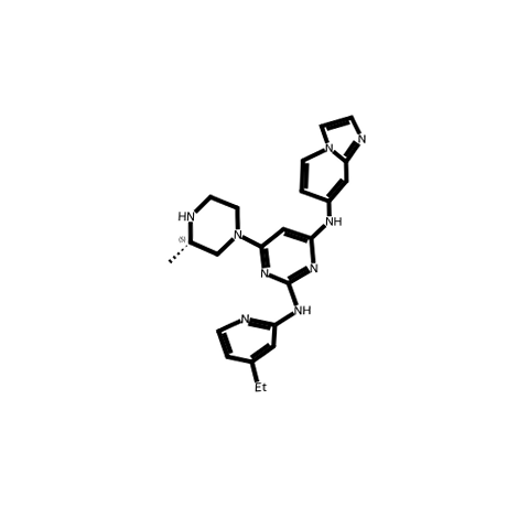 CCc1ccnc(Nc2nc(Nc3ccn4ccnc4c3)cc(N3CCN[C@@H](C)C3)n2)c1